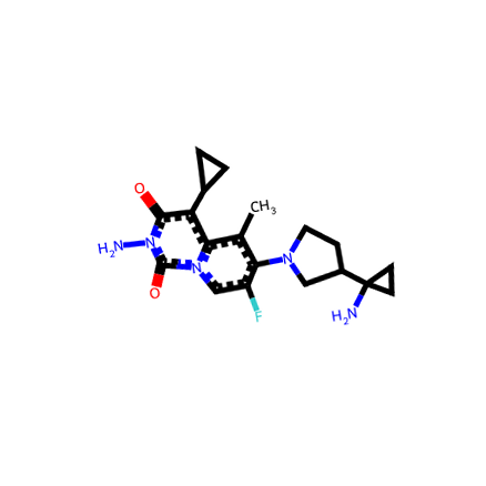 Cc1c(N2CCC(C3(N)CC3)C2)c(F)cn2c(=O)n(N)c(=O)c(C3CC3)c12